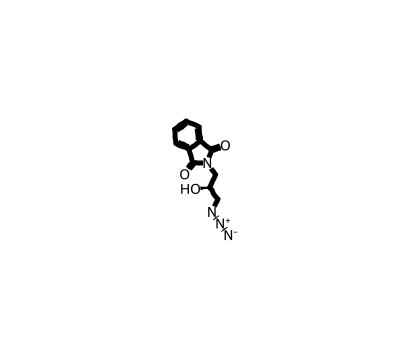 [N-]=[N+]=NC[C@@H](O)CN1C(=O)c2ccccc2C1=O